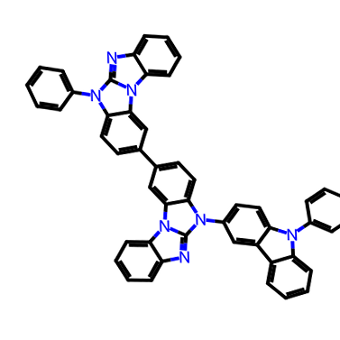 c1ccc(-n2c3ccccc3c3cc(-n4c5ccc(-c6ccc7c(c6)n6c8ccccc8nc6n7-c6ccccc6)cc5n5c6ccccc6nc45)ccc32)cc1